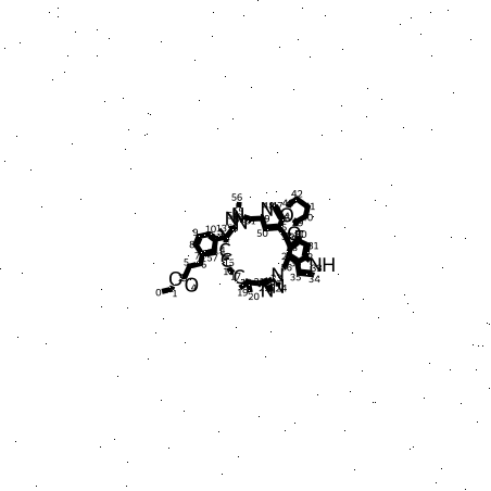 CCOC(=O)CCc1cccc([C@@]2(C)CCCCC(C)(C)c3cn(nn3)Cc3c(c(F)cc4[nH]ccc34)C(OC3CCCCO3)c3ccnc(c3)-c3nc2nn3C)c1